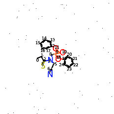 CCC(=S)N(CC#N)CP(=O)(Oc1ccccc1)Oc1ccccc1